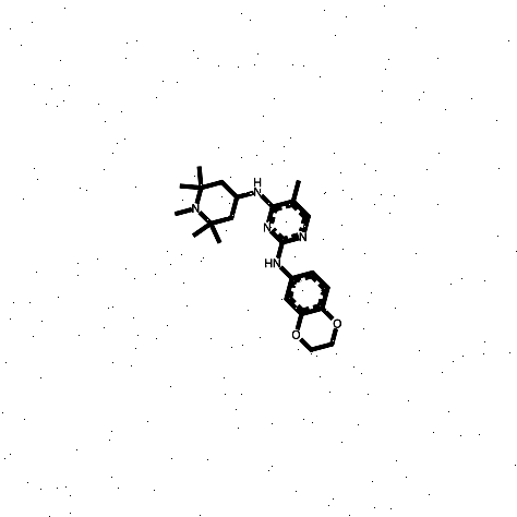 Cc1cnc(Nc2ccc3c(c2)OCCO3)nc1NC1CC(C)(C)N(C)C(C)(C)C1